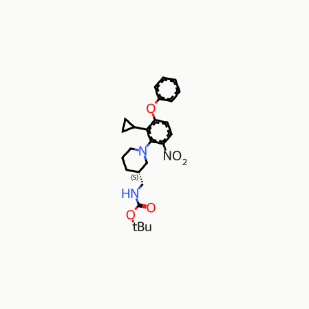 CC(C)(C)OC(=O)NC[C@@H]1CCCN(c2c([N+](=O)[O-])ccc(Oc3ccccc3)c2C2CC2)C1